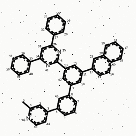 Cc1cc(-c2cccc(-c3cc(-c4ccc5ccccc5c4)cc(-c4nc(-c5ccccc5)cc(-c5ccccc5)n4)c3)c2)ccn1